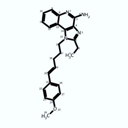 CCc1nc2c(N)nc3ccccc3c2n1CCCC=Cc1ccc(OC)cc1